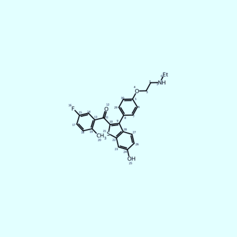 CCNCCOc1ccc(-c2c(C(=O)c3cc(F)ccc3C)sc3cc(O)ccc23)cc1